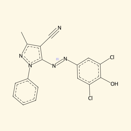 Cc1nn(-c2ccccc2)c(/N=N/c2cc(Cl)c(O)c(Cl)c2)c1C#N